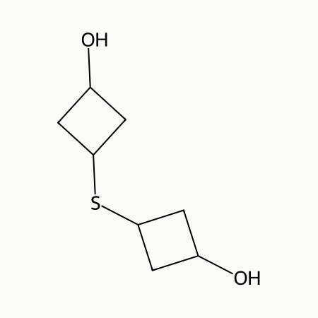 OC1CC(SC2CC(O)C2)C1